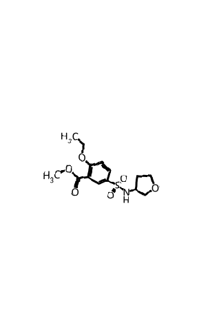 CCOc1ccc(S(=O)(=O)NC2CCOC2)cc1C(=O)OC